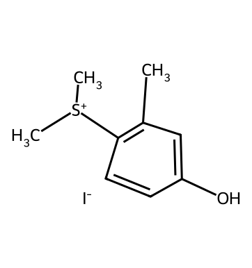 Cc1cc(O)ccc1[S+](C)C.[I-]